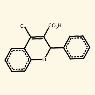 O=C(O)C1=C(Cl)c2ccccc2OC1c1ccccc1